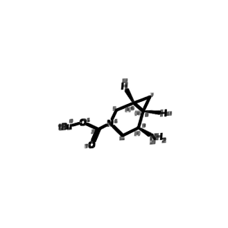 CC(C)(C)OC(=O)N1C[C@@H]2C[C@@H]2[C@@H](N)C1